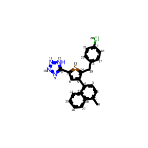 Cc1ccc(-c2cc(-c3nnn[nH]3)sc2Cc2ccc(Cl)cc2)c2ccccc12